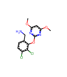 COc1cc(OC)nc(Oc2c(CN)ccc(Cl)c2Cl)n1